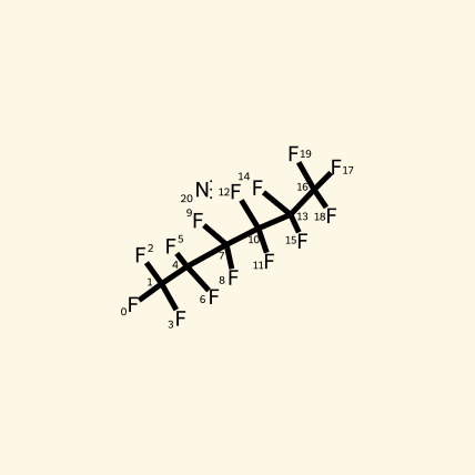 FC(F)(F)C(F)(F)C(F)(F)C(F)(F)C(F)(F)C(F)(F)F.[N]